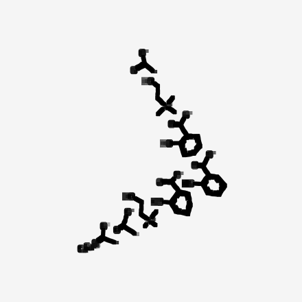 C[N+](C)(C)CCO.C[N+](C)(C)CCO.O=C([O-])c1ccccc1O.O=C([O-])c1ccccc1O.O=C([O-])c1ccccc1O.[CH2]C(=O)[O-].[CH2]C(=O)[O-].[CH2]C(=O)[O-].[Ca+2].[Ca+2]